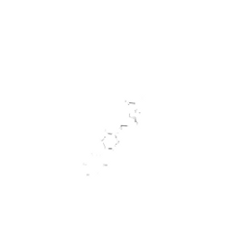 CC(=N)NS(=O)(=O)/C=C/c1ccc(C2CCCCC2)cc1